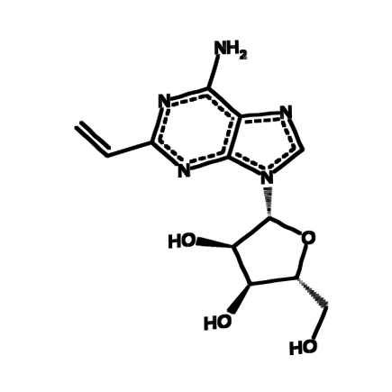 C=Cc1nc(N)c2ncn([C@@H]3O[C@H](CO)[C@@H](O)[C@H]3O)c2n1